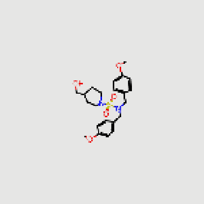 COc1ccc(CN(Cc2ccc(OC)cc2)S(=O)(=O)N2CCC(CO)CC2)cc1